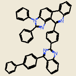 c1ccc(-c2ccc(-c3nc(-c4ccc(-c5nc6ccccc6c6ccc7c(nc(-c8ccccc8)n7-c7ccccc7)c56)cc4)nc4ccccc34)cc2)cc1